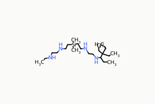 CCNCCNCC[Si](C)(C)CCNCCNC(CC)C(CC)(CC)CC